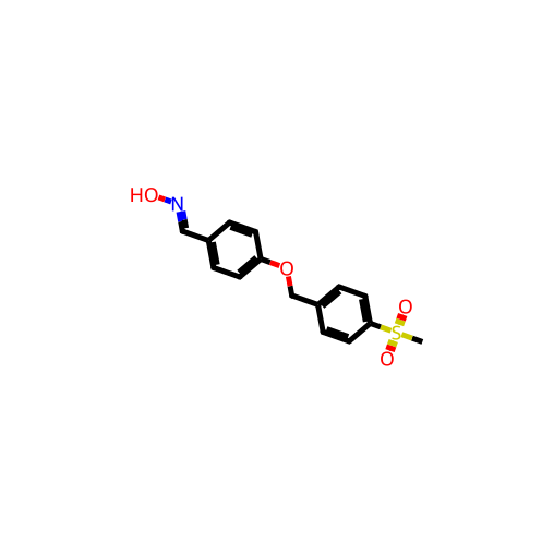 CS(=O)(=O)c1ccc(COc2ccc(C=NO)cc2)cc1